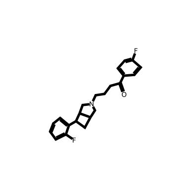 O=C(CCCN1CC2CC(c3ccccc3F)C2C1)c1ccc(F)cc1